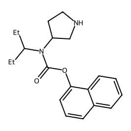 CCC(CC)N(C(=O)Oc1cccc2ccccc12)C1CCNC1